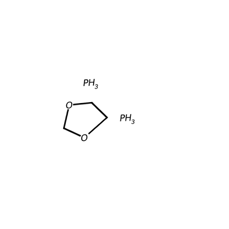 C1COCO1.P.P